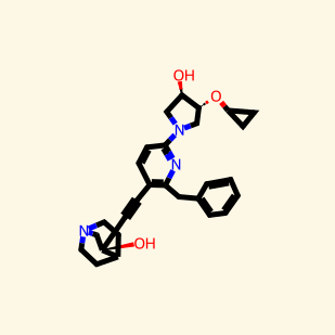 O[C@@H]1CN(c2ccc(C#C[C@@]3(O)CN4CCC3CC4)c(Cc3ccccc3)n2)C[C@H]1OC1CC1